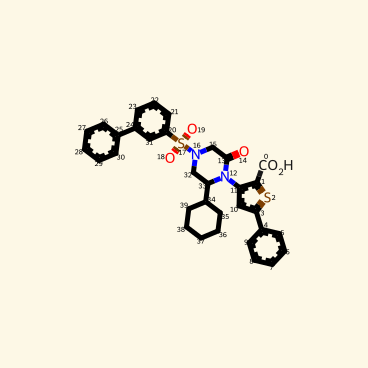 O=C(O)c1sc(-c2ccccc2)cc1N1C(=O)CN(S(=O)(=O)c2cccc(-c3ccccc3)c2)CC1C1CCCCC1